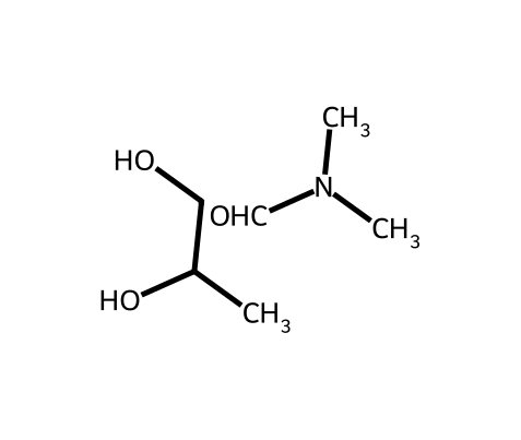 CC(O)CO.CN(C)C=O